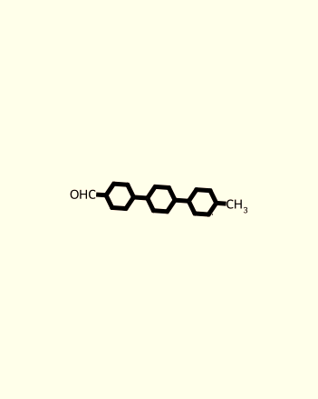 CC1[CH]CC(C2CCC(C3CCC(C=O)CC3)CC2)CC1